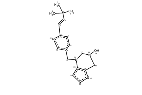 CC(C)(C)C=Cc1ccc(CN2CN(O)Cc3sccc32)cn1